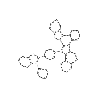 c1ccc(-n2c(-c3ccc(-n4c5c6ccccc6ccc5c5c6ccccc6c6c7ccccc7oc6c54)cc3)nc3ccccc32)cc1